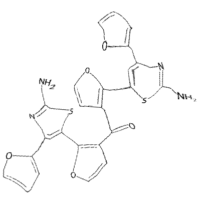 Nc1nc(-c2ccco2)c(-c2occc2C(=O)c2ccoc2-c2sc(N)nc2-c2ccco2)s1